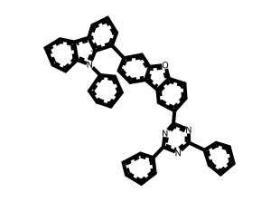 c1ccc(-c2nc(-c3ccccc3)nc(-c3ccc4oc5cc(-c6cccc7c8ccccc8n(-c8ccccc8)c67)ccc5c4c3)n2)cc1